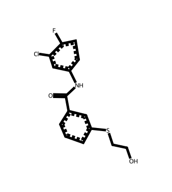 O=C(Nc1ccc(F)c(Cl)c1)c1cccc(SCCO)c1